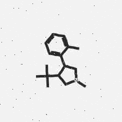 Cc1ccccc1C1CN(C)CC1C(C)(C)C